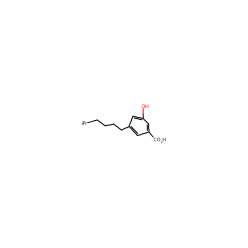 CC(C)CCCCc1cc(O)cc(C(=O)O)c1